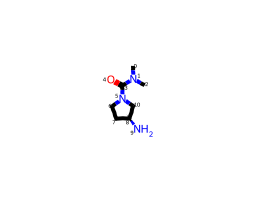 CN(C)C(=O)N1CC[C@H](N)C1